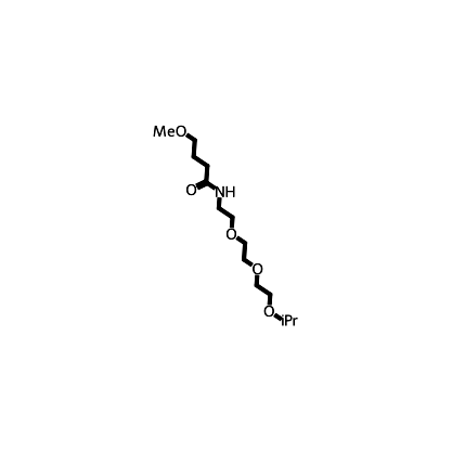 COCCCC(=O)NCCOCCOCCOC(C)C